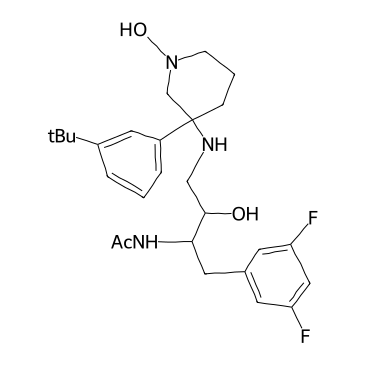 CC(=O)NC(Cc1cc(F)cc(F)c1)C(O)CNC1(c2cccc(C(C)(C)C)c2)CCCN(O)C1